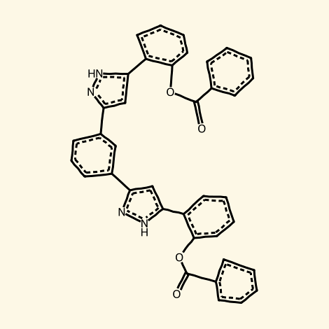 O=C(Oc1ccccc1-c1cc(-c2cccc(-c3cc(-c4ccccc4OC(=O)c4ccccc4)[nH]n3)c2)n[nH]1)c1ccccc1